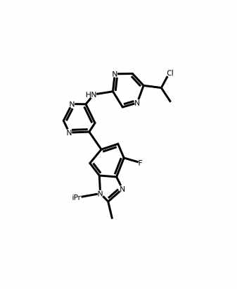 Cc1nc2c(F)cc(-c3cc(Nc4cnc(C(C)Cl)cn4)ncn3)cc2n1C(C)C